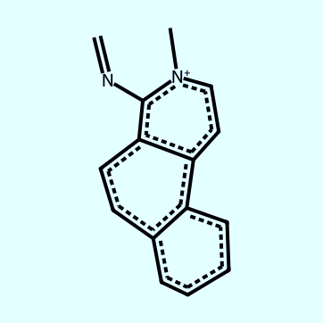 C=Nc1c2ccc3ccccc3c2cc[n+]1C